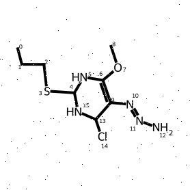 CCCSC1NC(OC)=C(N=NN)C(Cl)N1